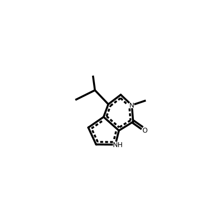 CC(C)c1cn(C)c(=O)c2[nH]ccc12